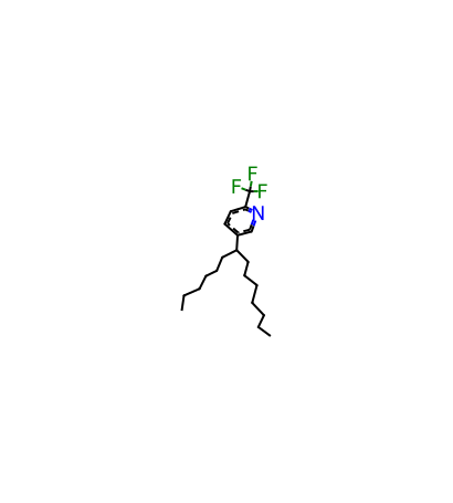 CCCCCCCC(CCCCCC)c1ccc(C(F)(F)F)nc1